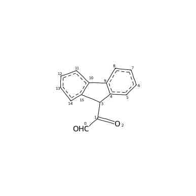 O=CC(=O)C1c2ccccc2-c2ccccc21